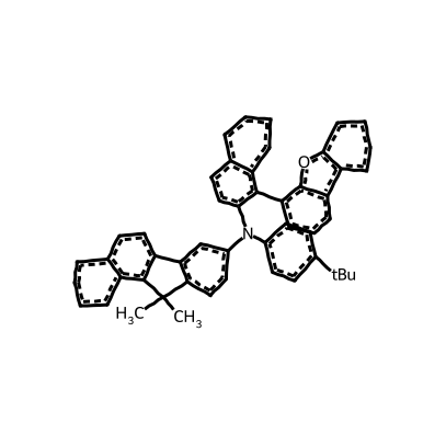 CC(C)(C)c1ccc(N(c2ccc3c(c2)-c2ccc4ccccc4c2C3(C)C)c2ccc3ccccc3c2-c2cccc3c2oc2ccccc23)cc1